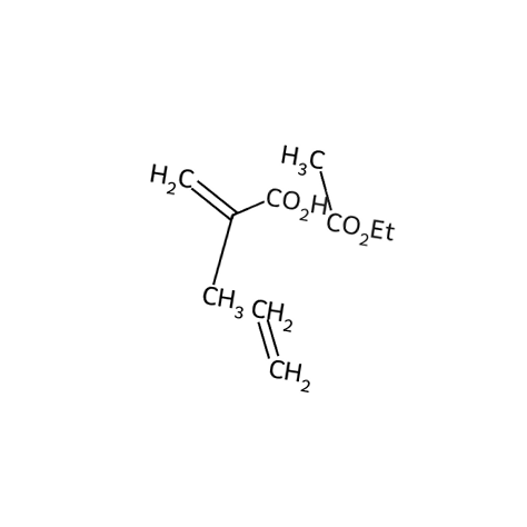 C=C.C=C(C)C(=O)O.CCOC(C)=O